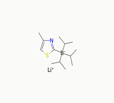 Cc1csc([B-](C(C)C)(C(C)C)C(C)C)n1.[Li+]